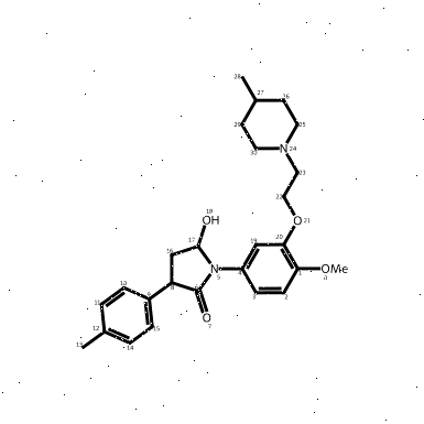 COc1ccc(N2C(=O)C(c3ccc(C)cc3)CC2O)cc1OCCN1CCC(C)CC1